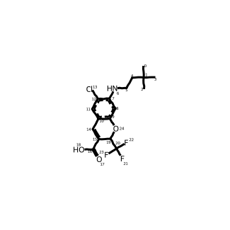 CC(C)(C)CCNc1cc2c(cc1Cl)C=C(C(=O)O)C(C(F)(F)F)O2